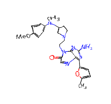 COc1ccc(N(C)C2CCN(CCn3c(=O)cnc4c(-c5ccc(C)o5)nc(N)nc43)C2)cc1